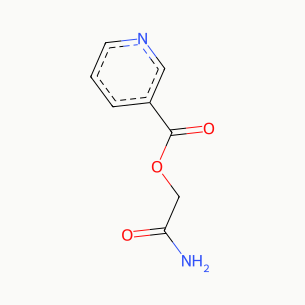 NC(=O)COC(=O)c1cccnc1